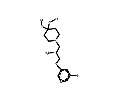 CCOC1(OCC)CCN(C[C@H](N)COc2cncc(CC)c2)CC1